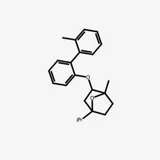 Cc1ccccc1-c1ccccc1OC1CC2(C(C)C)CCC1(C)O2